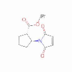 CC(C)OC(=O)[C@H]1CCC[C@@H]1N1C(=O)C=CC1=O